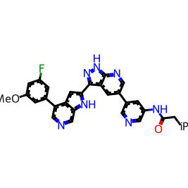 COc1cc(F)cc(-c2cncc3[nH]c(-c4n[nH]c5ncc(-c6cncc(NC(=O)CC(C)C)c6)cc45)cc23)c1